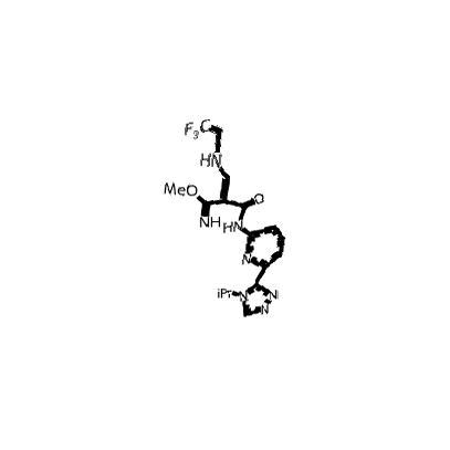 COC(=N)/C(=C\NCC(F)(F)F)C(=O)Nc1cccc(-c2nncn2C(C)C)n1